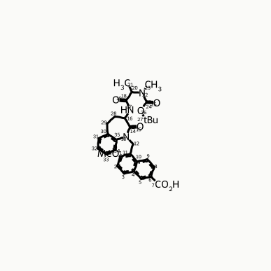 COc1ccc2cc(C(=O)O)ccc2c1CN1C(=O)C(NC(=O)C(C)N(C)C(=O)OC(C)(C)C)CCc2ccccc21